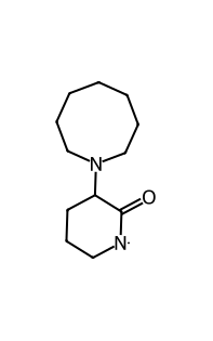 O=C1[N]CCCC1N1CCCCCCC1